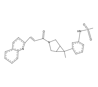 CC1(c2cccc(NS(C)(=O)=O)c2)C2CN(C(=O)C=Cc3ccc4ccccc4n3)CC21